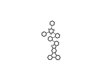 c1ccc(-c2nc(-c3ccccc3)nc(-c3ccccc3-c3ccccc3-c3cccc4c3oc3cc5c6ccccc6c6ccccc6c5cc34)n2)cc1